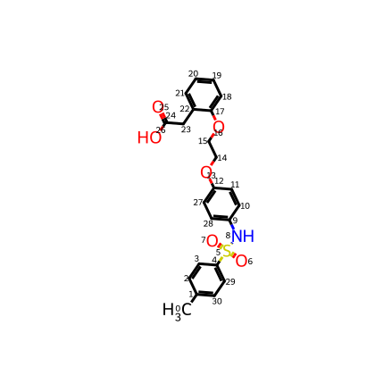 Cc1ccc(S(=O)(=O)Nc2ccc(OCCOc3ccccc3CC(=O)O)cc2)cc1